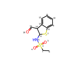 CCS(=O)(=O)NC1Sc2ccccc2C1C=O